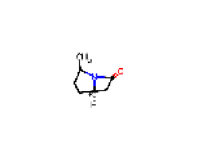 CC1CC[C@@H]2CC(=O)N12